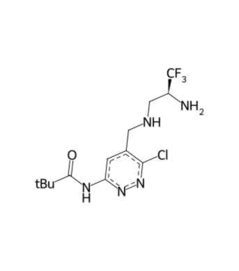 CC(C)(C)C(=O)Nc1cc(CNC[C@H](N)C(F)(F)F)c(Cl)nn1